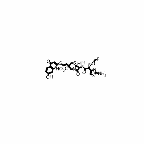 Nc1nc(C(=NOCF)C(=O)NC2C(=O)N3CC(C=CSc4cc(=O)c5ccc(O)cc5s4)(C(=O)O)CS[C@H]23)cs1